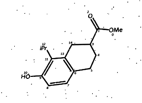 COC(=O)C1CCc2ccc(O)c(C(C)C)c2C1